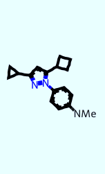 CNc1ccc(-n2nc(C3CC3)cc2C2CCC2)cc1